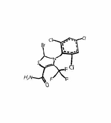 NC(=O)C1=C(C(F)(F)F)N(c2c(Cl)cc(Cl)cc2Cl)C(Br)S1